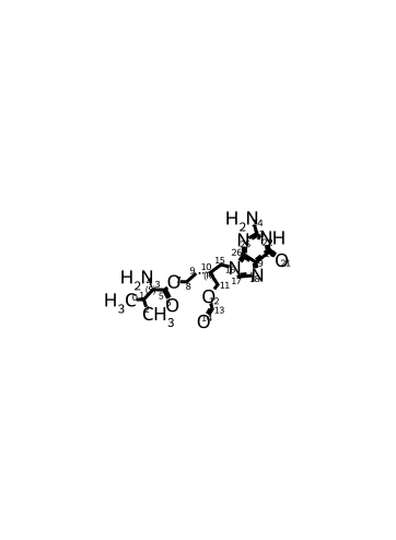 CC(C)[C@H](N)C(=O)OCC[C@@H](COC=O)Cn1cnc2c(=O)[nH]c(N)nc21